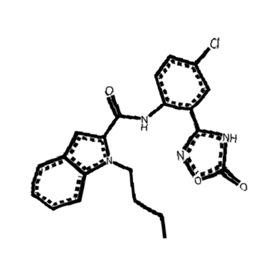 CCCCn1c(C(=O)Nc2ccc(Cl)cc2-c2noc(=O)[nH]2)cc2ccccc21